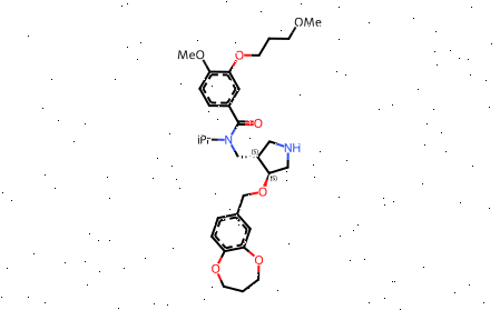 COCCCOc1cc(C(=O)N(C[C@@H]2CNC[C@H]2OCc2ccc3c(c2)OCCCO3)C(C)C)ccc1OC